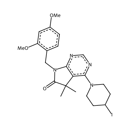 COc1ccc(CN2C(=O)C(C)(C)c3c(N4CCC(I)CC4)ncnc32)c(OC)c1